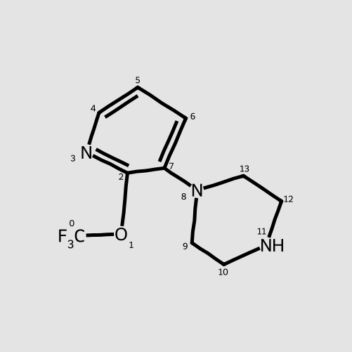 FC(F)(F)Oc1ncccc1N1CCNCC1